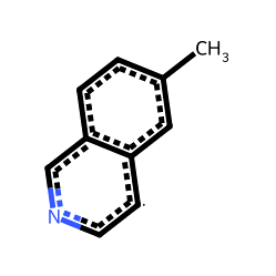 Cc1ccc2cnc[c]c2c1